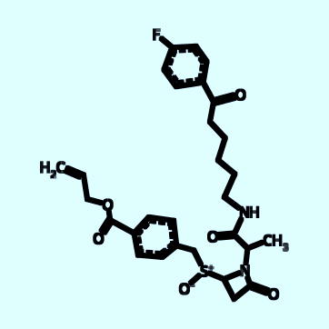 C=CCOC(=O)c1ccc(C[S+]([O-])C2CC(=O)N2C(C)C(=O)NCCCCCC(=O)c2ccc(F)cc2)cc1